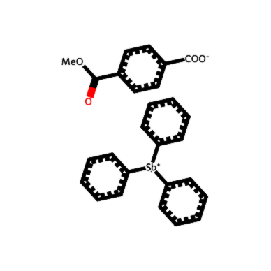 COC(=O)c1ccc(C(=O)[O-])cc1.c1cc[c]([Sb+]([c]2ccccc2)[c]2ccccc2)cc1